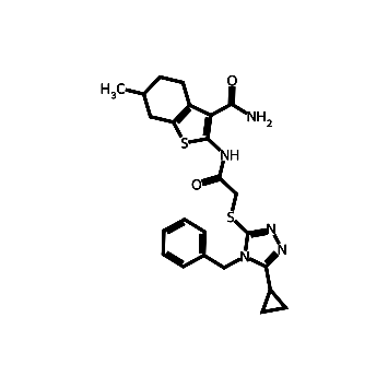 CC1CCc2c(sc(NC(=O)CSc3nnc(C4CC4)n3Cc3ccccc3)c2C(N)=O)C1